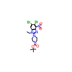 CCn1c(N2CCN(C(=O)OC(C)(C)C)CC2)nc2c([N+](=O)[O-])c(Br)c(Br)cc21